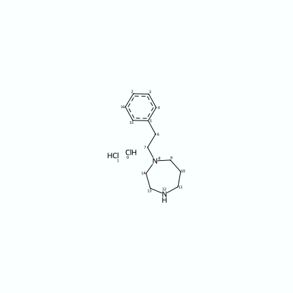 Cl.Cl.c1ccc(CCN2CCCNCC2)cc1